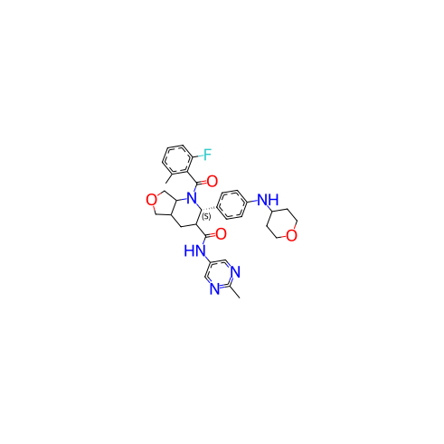 Cc1ncc(NC(=O)C2CC3COCC3N(C(=O)c3c(C)cccc3F)[C@@H]2c2ccc(NC3CCOCC3)cc2)cn1